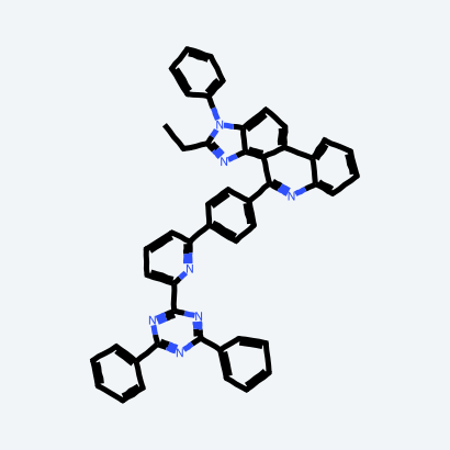 CCc1nc2c3c(-c4ccc(-c5cccc(-c6nc(-c7ccccc7)nc(-c7ccccc7)n6)n5)cc4)nc4ccccc4c3ccc2n1-c1ccccc1